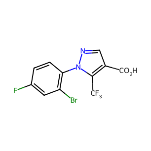 O=C(O)c1cnn(-c2ccc(F)cc2Br)c1C(F)(F)F